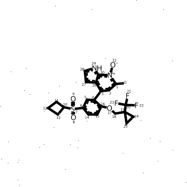 Cc1cc(-c2cc(S(=O)(=O)C3CCC3)ccc2OCC2(C(F)(F)F)CC2)c2cc[nH]c2[n+]1[O-]